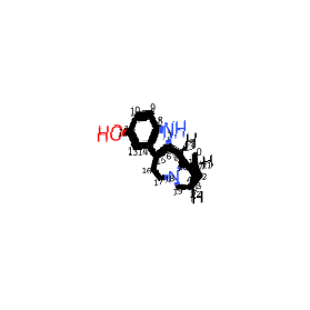 C[C@H]1C[C@H]2C[C@H]3c4[nH]c5ccc(O)cc5c4CCN(C2)C13